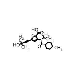 CC(C)N(c1cc(C#CC(C)(C)O)sc1C(=O)O)C(=O)[C@H]1CC[C@H](C)CC1